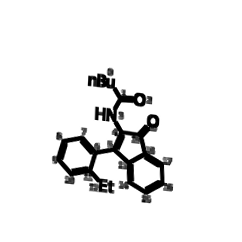 CCCCC(=O)NC1=C(c2ccccc2CC)c2ccccc2C1=O